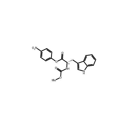 CC(C)(C)OC(=O)N[C@@H](Cc1c[nH]c2ccccc12)C(=O)Oc1ccc([N+](=O)[O-])cc1